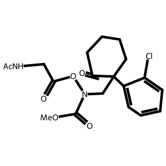 COC(=O)N(CC1(c2ccccc2Cl)CCCCC1=O)OC(=O)CNC(C)=O